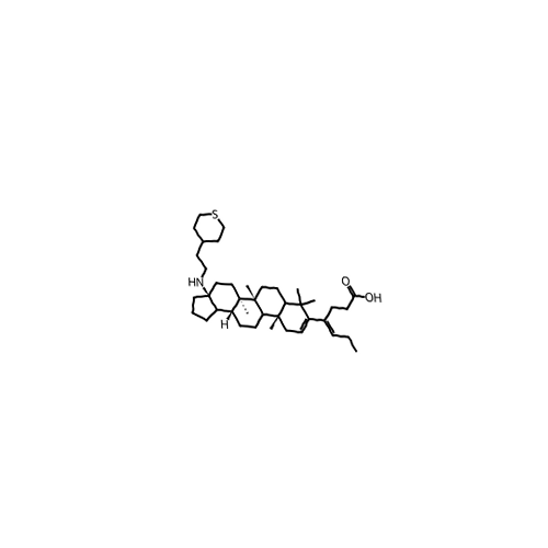 CC/C=C(\CCC(=O)O)C1=CC[C@@]2(C)C(CC[C@]3(C)C2CC[C@@H]2C4CCC[C@]4(NCCC4CCSCC4)CC[C@]23C)C1(C)C